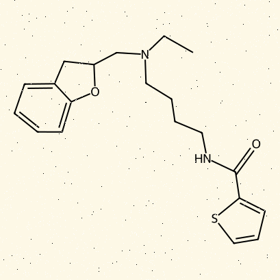 CCN(CCCCNC(=O)c1cccs1)CC1Cc2ccccc2O1